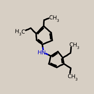 CCc1ccc(Nc2ccc(CC)c(CC)c2)cc1CC